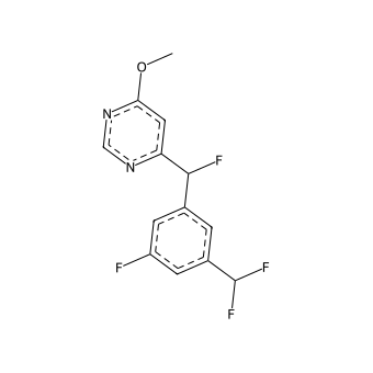 COc1cc(C(F)c2cc(F)cc(C(F)F)c2)ncn1